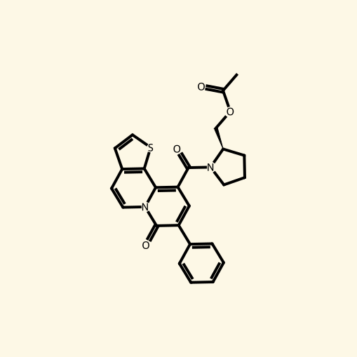 CC(=O)OC[C@H]1CCCN1C(=O)c1cc(-c2ccccc2)c(=O)n2ccc3ccsc3c12